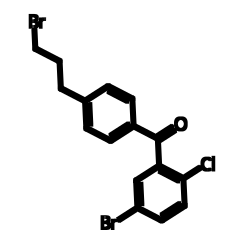 O=C(c1ccc(CCCBr)cc1)c1cc(Br)ccc1Cl